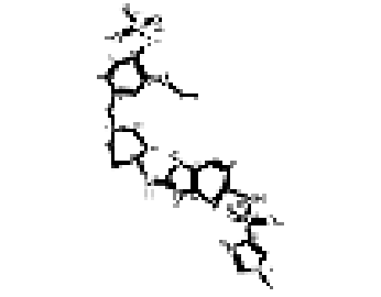 CCOc1cc(CN2CCC(Nc3nc4cc(NS(=O)(=O)c5cn(C)cn5)ccc4o3)CC2)ccc1OS(C)(=O)=O